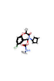 CCC1Oc2ccc(Cl)cc2C(OC(=O)NC(C)(C)C)N(C2CCCC2)C1=O